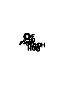 CCSc1cccc(F)c1S(=O)(=O)OCP(=O)(O)O